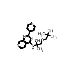 CC(C)(O)COCC(C)(C)Nc1nc(-c2ccncc2)nc2cnccc12